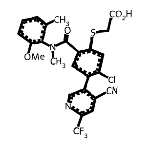 COc1cccc(C)c1N(C)C(=O)c1cc(-c2cnc(C(F)(F)F)cc2C#N)c(Cl)cc1SCC(=O)O